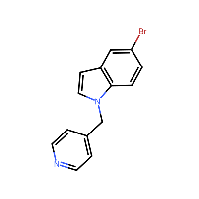 Brc1ccc2c(ccn2Cc2ccncc2)c1